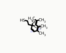 CC(C)=C/C(C)=C(C)\C=C/C(C)(S)CCS